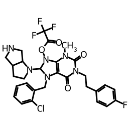 Cn1c2c(c(=O)n(CCc3ccc(F)cc3)c1=O)N(Cc1ccccc1Cl)C(N1CCC3CNCC31)N2OC(=O)C(F)(F)F